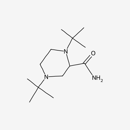 CC(C)(C)N1CCN(C(C)(C)C)C(C(N)=O)C1